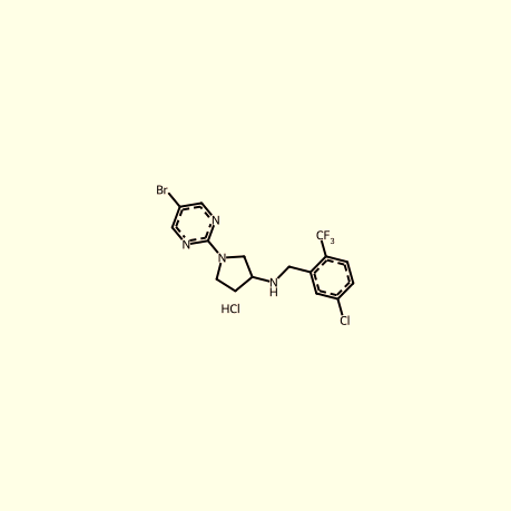 Cl.FC(F)(F)c1ccc(Cl)cc1CNC1CCN(c2ncc(Br)cn2)C1